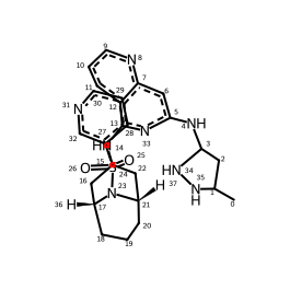 CC1CC(Nc2cc3ncccc3c(NC3C[C@H]4CCC[C@@H](C3)N4S(=O)(=O)c3cccnc3)n2)NN1